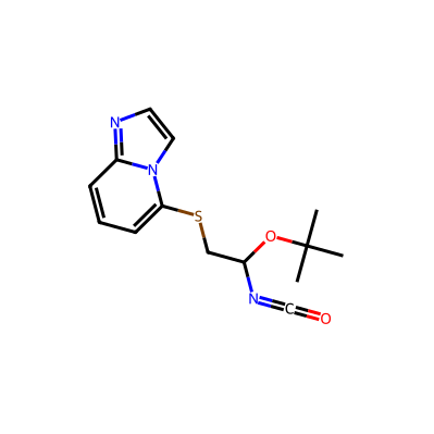 CC(C)(C)OC(CSc1cccc2nccn12)N=C=O